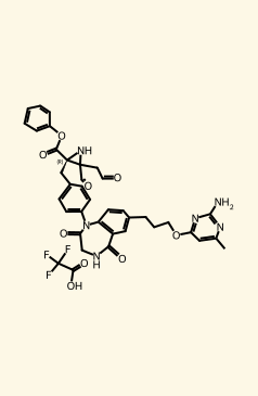 Cc1cc(OCCCc2ccc3c(c2)C(=O)NCC(=O)N3c2ccc(C[C@@]3(C(=O)Oc4ccccc4)NC3(C=O)CC=O)cc2)nc(N)n1.O=C(O)C(F)(F)F